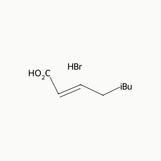 Br.CCC(C)CC=CC(=O)O